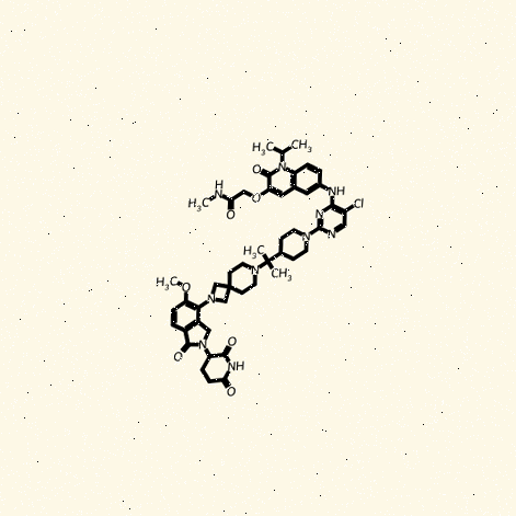 CNC(=O)COc1cc2cc(Nc3nc(N4CCC(C(C)(C)N5CCC6(CC5)CN(c5c(OC)ccc7c5CN(C5CCC(=O)NC5=O)C7=O)C6)CC4)ncc3Cl)ccc2n(C(C)C)c1=O